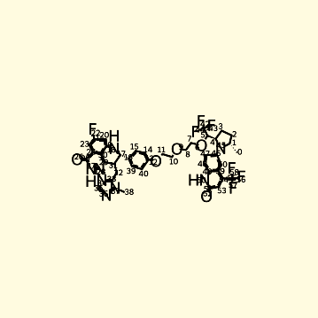 C[C@H]1CC[C@H](C(OCCOCCOc2ccc([C@H]3Nc4cc(F)cc5c(=O)[nH]nc(c45)[C@@H]3Cc3ncnn3C)cc2)C(F)(F)F)N1c1ccc2[nH]c(=O)cc(C(F)(F)F)c2c1